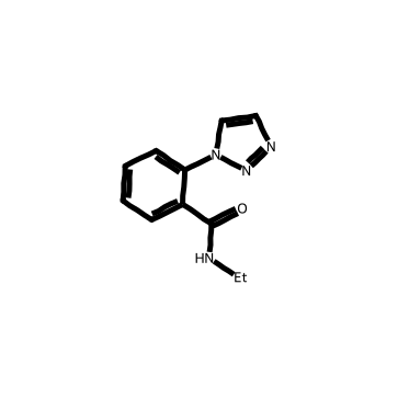 CCNC(=O)c1ccccc1-n1ccnn1